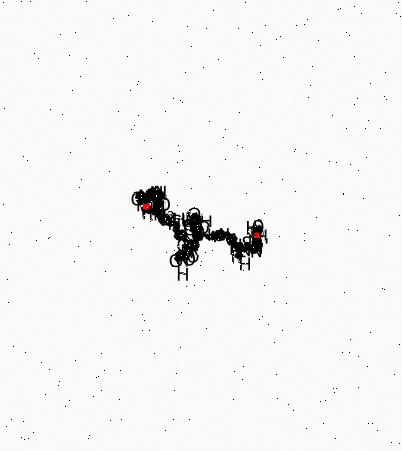 CC[C@@H]1COCCN1c1ccn2ncc(C(=O)Nc3cn(C4CCC(CN(C)CCC5CCC(CNc6c(-c7cc(NCC8CC9(CCN(CC%10CCC(n%11cc(NC(=S)c%12cnn%13ccc(N%14C[C@H]%15C[C@@H]%14CO%15)nc%12%13)c(C(F)F)n%11)CC%10)CC9)C8)c8c(c7)C(=O)N(C7CCC(=O)NC7=O)C8=O)ccc7c6C(=O)N(C6CCC(=O)NC6=O)C7=O)CC5)CC4)nc3C(F)F)c2n1